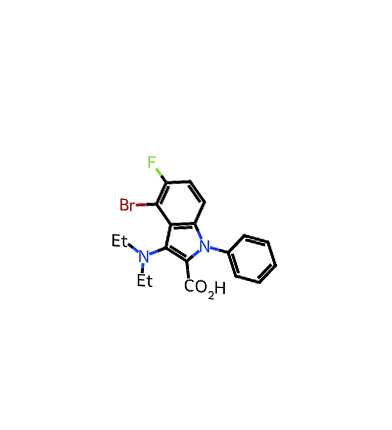 CCN(CC)c1c(C(=O)O)n(-c2ccccc2)c2ccc(F)c(Br)c12